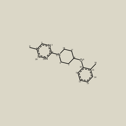 Cc1cnc(N2CCC(Oc3ccccc3C)CC2)nn1